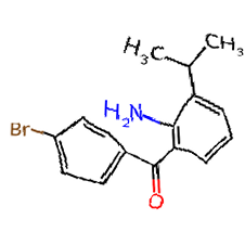 CC(C)c1cccc(C(=O)c2ccc(Br)cc2)c1N